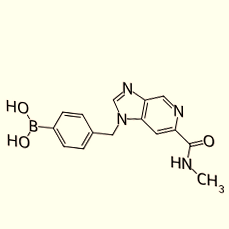 CNC(=O)c1cc2c(cn1)ncn2Cc1ccc(B(O)O)cc1